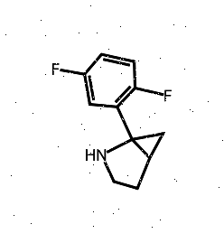 Fc1ccc(F)c(C23CC2CCN3)c1